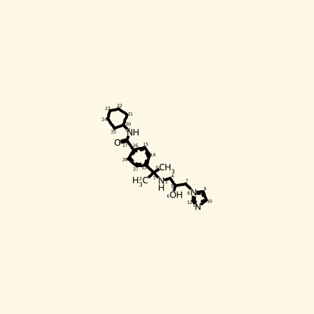 CC(C)(NCC(O)Cn1ccnc1)c1ccc(C(=O)NC2CCCCC2)cc1